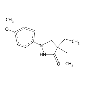 CCC1(CC)CN(c2ccc(OC)cc2)NC1=O